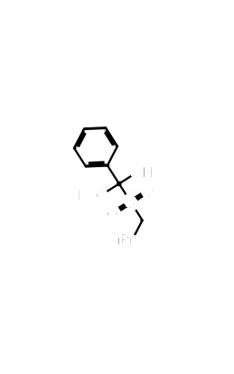 CC(C)CS(=O)(=O)C(C)(C)c1ccccc1